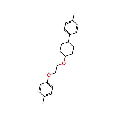 Cc1ccc(OCCOC2CCC(c3ccc(C)cc3)CC2)cc1